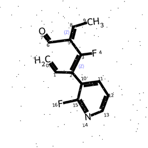 C=C/C(=C(F)\C(C=O)=C/C)c1cccnc1F